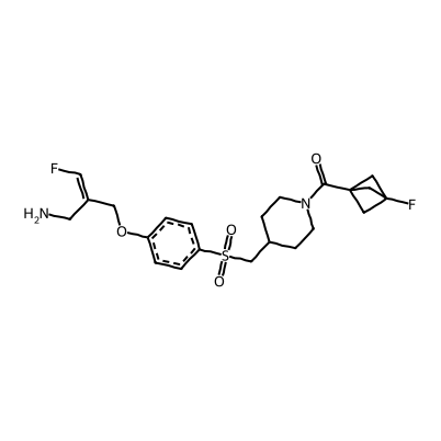 NC/C(=C\F)COc1ccc(S(=O)(=O)CC2CCN(C(=O)C34CC(F)(C3)C4)CC2)cc1